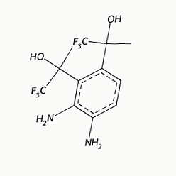 CC(O)(c1ccc(N)c(N)c1C(C)(O)C(F)(F)F)C(F)(F)F